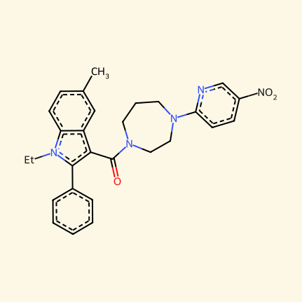 CCn1c(-c2ccccc2)c(C(=O)N2CCCN(c3ccc([N+](=O)[O-])cn3)CC2)c2cc(C)ccc21